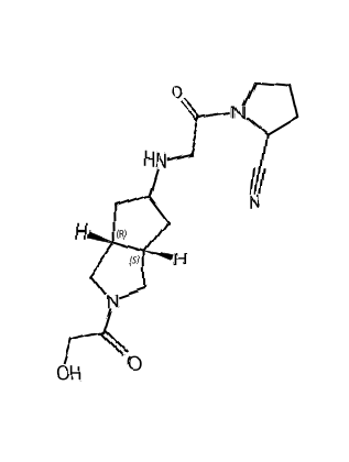 N#CC1CCCN1C(=O)CNC1C[C@@H]2CN(C(=O)CO)C[C@@H]2C1